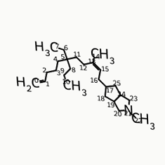 C=CCCCC(CC)(CCC)CC/C(C)=C\CC1CC2CN(C)CC2C1